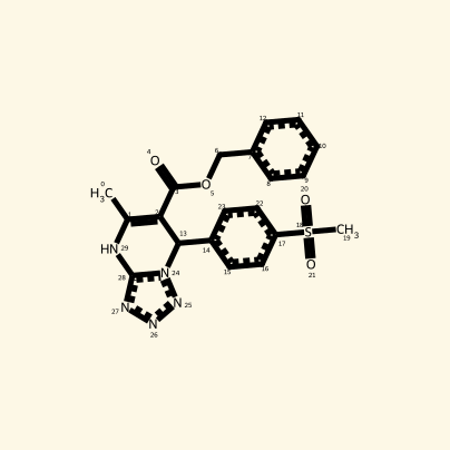 CC1=C(C(=O)OCc2ccccc2)C(c2ccc(S(C)(=O)=O)cc2)n2nnnc2N1